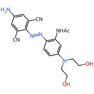 CC(=O)Nc1cc(N(CCO)CCO)ccc1/N=N/c1c(C#N)cc(N)cc1C#N